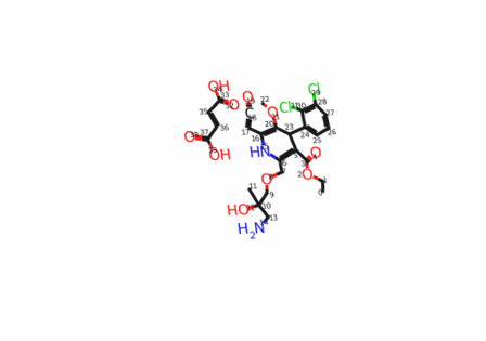 CCOC(=O)C1=C(COCC(C)(O)CN)NC(C=C=O)=C(OC)C1c1cccc(Cl)c1Cl.O=C(O)C=CC(=O)O